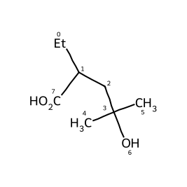 CCC(CC(C)(C)O)C(=O)O